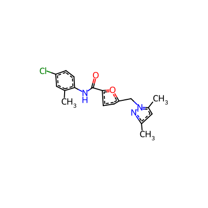 Cc1cc(C)n(Cc2ccc(C(=O)Nc3ccc(Cl)cc3C)o2)n1